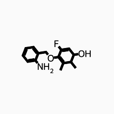 CC1=C(OCc2ccccc2N)C(F)=CC(O)C1C